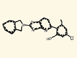 Cc1cc(Cl)cc(O)c1-c1ccc2oc(N3Cc4ccccc4C3)nc2n1